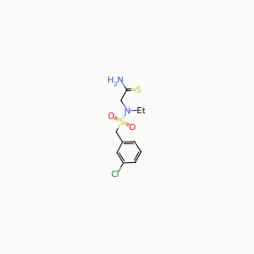 CCN(CC(N)=S)S(=O)(=O)Cc1cccc(Cl)c1